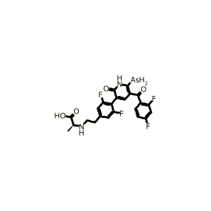 C[C@H](NCCc1cc(F)c(-c2cc(C(=O)c3ccc(F)cc3F)c([AsH2])[nH]c2=O)c(F)c1)C(=O)O